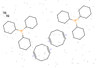 C1=C\CC/C=C\CC/1.C1=C\CC/C=C\CC/1.C1CCC(P(C2CCCCC2)C2CCCCC2)CC1.C1CCC(P(C2CCCCC2)C2CCCCC2)CC1.[Ni].[Ni]